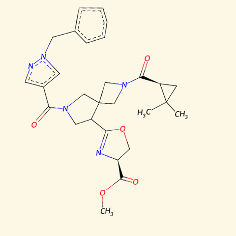 COC(=O)[C@@H]1COC(C2CN(C(=O)c3cnn(Cc4ccccc4)c3)CC23CN(C(=O)[C@H]2CC2(C)C)C3)=N1